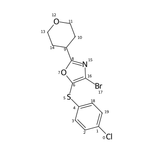 Clc1ccc(Sc2oc(C3CCOCC3)nc2Br)cc1